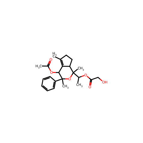 CC(=O)OC1C2=C(C)CCC2C(C)(C(C)OC(=O)CO)OC1(C)c1ccccc1